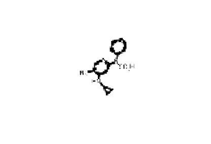 N#Cc1cnc(N(C(=O)O)c2ccccc2)cc1NC1CC1